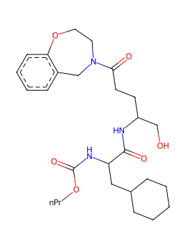 CCCOC(=O)NC(CC1CCCCC1)C(=O)NC(CO)CCC(=O)N1CCOc2ccccc2C1